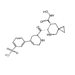 CS(=O)(=O)c1cccc(C2=CCNC(C(=O)[C@H]3NCC4(CC4)C[C@@H]3C(=O)NO)C2)c1